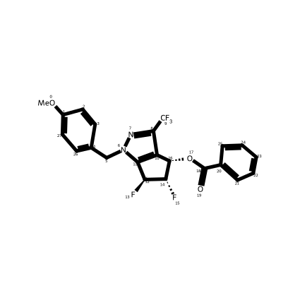 COc1ccc(Cn2nc(C(F)(F)F)c3c2[C@H](F)[C@@H](F)[C@H]3OC(=O)c2ccccc2)cc1